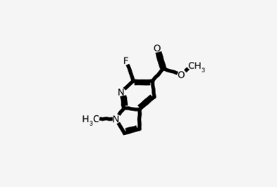 COC(=O)c1cc2ccn(C)c2nc1F